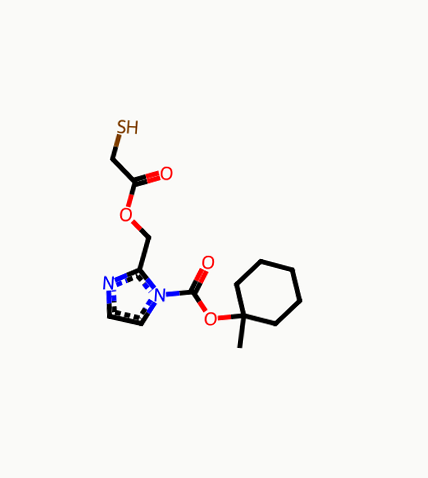 CC1(OC(=O)n2ccnc2COC(=O)CS)CCCCC1